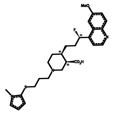 COc1ccc2nccc([C@@H](F)CC[C@@H]3CCN(CCCSc4cccn4C)C[C@@H]3C(=O)O)c2c1